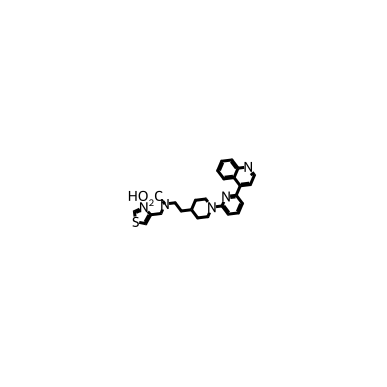 O=C(O)N(CCC1CCN(c2cccc(-c3ccnc4ccccc34)n2)CC1)Cc1cscn1